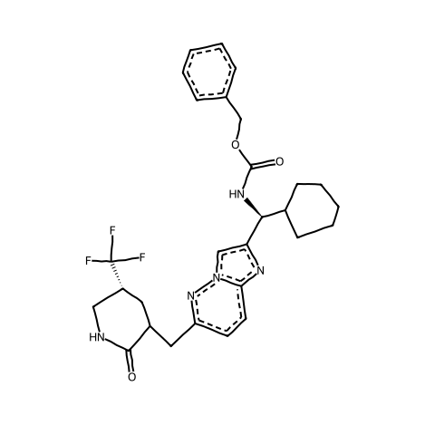 O=C(N[C@H](c1cn2nc(CC3C[C@@H](C(F)(F)F)CNC3=O)ccc2n1)C1CCCCC1)OCc1ccccc1